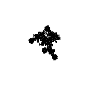 CC[C@@H]1O[C@H](O[C@H]2[C@@H](O)[C@H](O[C@@H]3[C@@H](O)[C@H](NC(=O)[C@H](CCNC(=O)OCc4ccccc4)OC(=O)c4ccccc4)C[C@H](C)[C@H]3O[C@H]3O[C@H](CO)[C@@H](O)[C@H](O)[C@H]3NC(=O)OCc3ccccc3)O[C@@H]2CO)[C@H](NC(=O)OCc2ccccc2)[C@@H](O)[C@@H]1O